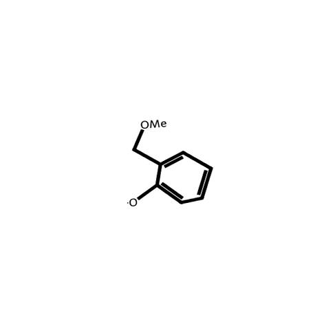 COCc1ccccc1[O]